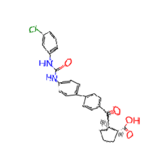 O=C(Nc1ccc(-c2ccc(C(=O)[C@@H]3CCC[C@H]3C(=O)O)cc2)cc1)Nc1cccc(Cl)c1